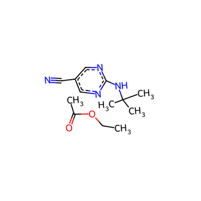 CC(C)(C)Nc1ncc(C#N)cn1.CCOC(C)=O